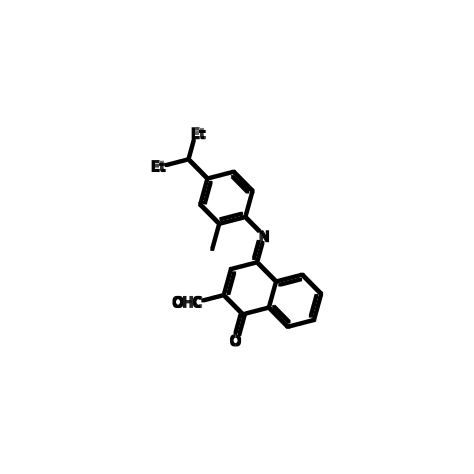 CCC(CC)c1ccc(N=C2C=C(C=O)C(=O)c3ccccc32)c(C)c1